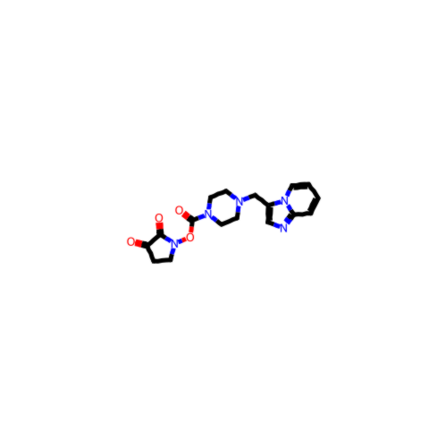 O=C1CCN(OC(=O)N2CCN(Cc3cnc4ccccn34)CC2)C1=O